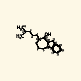 CN(C)CCCN1CCCN2c3ccccc3CC2C1O